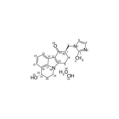 Cc1nccn1C[C@H]1CCc2c(c3cccc4c3n2CC[C@@H]4O)C1=O.Cl.O